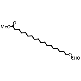 COC(=O)CCCCCCCCCCCCCCCCCOC=O